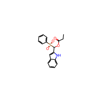 CCC(=O)OC(c1cc2ccccc2[nH]1)S(=O)(=O)c1ccccc1